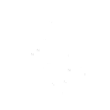 C[Si](C)(C)CCOCn1cc2c(n1)-c1ccccc1C21Cc2nc(Cl)nc(N3C[C@@H]4CC[C@@H](C4)C3)c2CO1